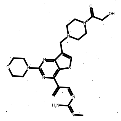 C=C(/C=N\C(N)=N/C)c1nc(N2CCOCC2)nc2c(CN3CCN(C(=O)CO)CC3)csc12